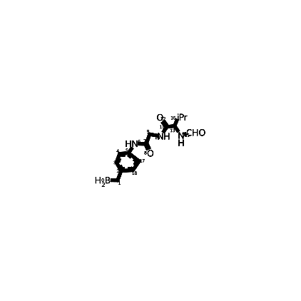 BCc1ccc(NC(=O)CNC(=O)C(NC=O)C(C)C)cc1